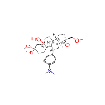 COC[C@]1(OC)CC[C@H]2[C@@H]3CC[C@@]4(O)CC(OC)(OC)CCC4=C3[C@@H](c3ccc(N(C)C)cc3)C[C@@]21C